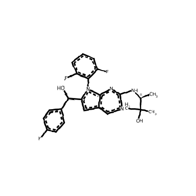 C[C@H](Nc1ncc2cc(C(O)c3ccc(F)cc3)n(-c3c(F)cccc3F)c2n1)C(C)(C)O